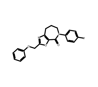 O=C1c2oc(COc3ccccc3)nc2CCCN1c1ccc(F)cc1